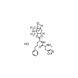 CC1(C)[C@@H]2C[C@H]3OB([C@H](CCCc4ccccc4)NC(=O)C(N)Cc4cnco4)O[C@@]3(C)[C@H]1C2.Cl